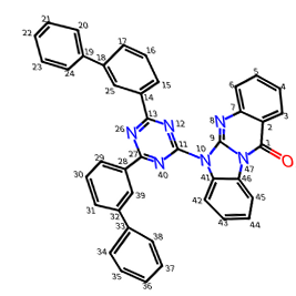 O=c1c2ccccc2nc2n(-c3nc(-c4cccc(-c5ccccc5)c4)nc(-c4cccc(-c5ccccc5)c4)n3)c3ccccc3n12